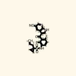 C=CCC1(S(=O)(=O)Nc2ccc(F)c(C(=O)c3c[nH]c4ncc(C#N)cc34)c2F)CC1